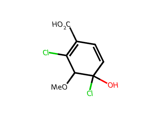 COC1C(Cl)=C(C(=O)O)C=CC1(O)Cl